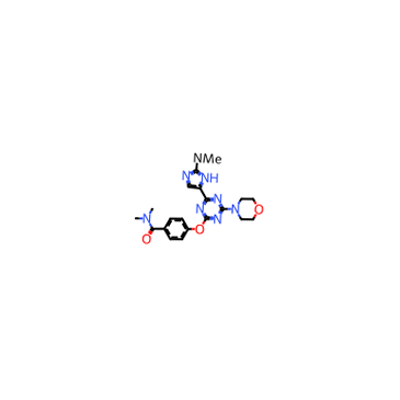 CNc1ncc(-c2nc(Oc3ccc(C(=O)N(C)C)cc3)nc(N3CCOCC3)n2)[nH]1